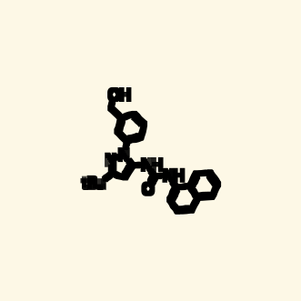 CC(C)(C)c1cc(NC(=O)Nc2cccc3ccccc23)n(-c2cccc(CO)c2)n1